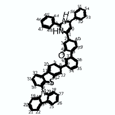 C1=C(C2C=c3oc4c(-c5ccc6c(c5)sc5c(-n7c8ccccc8c8ccccc87)cccc56)cccc4c3=CC2)NC(c2ccccc2)NC1c1ccccc1